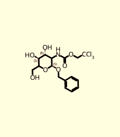 O=C(NC1[C@@H](OCc2ccccc2)OC(CO)[C@@H](O)[C@@H]1O)OCC(Cl)(Cl)Cl